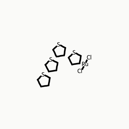 C1CCSC1.C1CCSC1.C1CCSC1.C1CCSC1.[Cl][Ru][Cl]